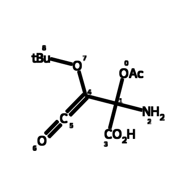 CC(=O)OC(N)(C(=O)O)C(=C=O)OC(C)(C)C